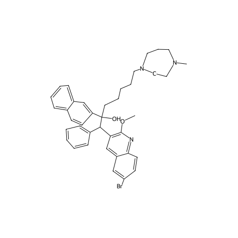 COc1nc2ccc(Br)cc2cc1C(c1ccccc1)C(O)(CCCCCN1CCCN(C)CC1)c1ccc2ccccc2c1